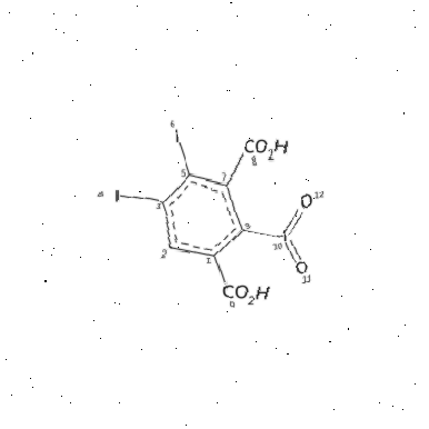 O=C(O)c1cc(I)c(I)c(C(=O)O)c1I(=O)=O